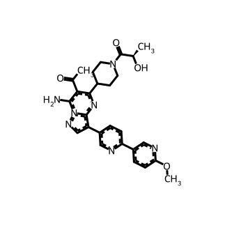 COc1ccc(-c2ccc(-c3cnn4c(N)c(C(C)=O)c(C5CCN(C(=O)[C@@H](C)O)CC5)nc34)cn2)cn1